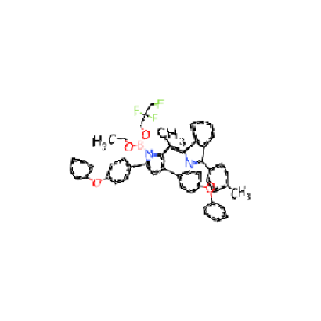 CCOB(OCC(F)(F)CF)n1c(-c2ccc(Oc3ccccc3)cc2)cc(-c2ccc(Oc3ccccc3)cc2)c1/C(C)=C1\N=C(c2ccc(C)cc2)c2ccccc21